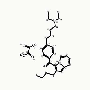 CCCCc1cc2ccccn2c1C(=O)c1ccc(CCCCN(CC)CC)cc1.O=C(O)C(=O)O